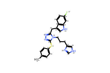 Cc1ccc(Sc2nnc(Cc3c[nH]c4cc(F)ccc34)n2CCCc2c[nH]cn2)cc1